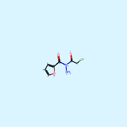 NN(C(=O)CCl)C(=O)c1ccco1